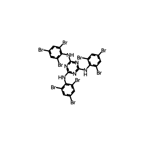 Brc1cc(Br)c(Nc2nc(Nc3c(Br)cc(Br)cc3Br)nc(Nc3c(Br)cc(Br)cc3Br)n2)c(Br)c1